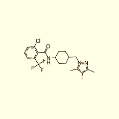 Cc1nn(CC2CCC(NC(=O)c3c(Cl)cccc3C(F)(F)F)CC2)c(C)c1C